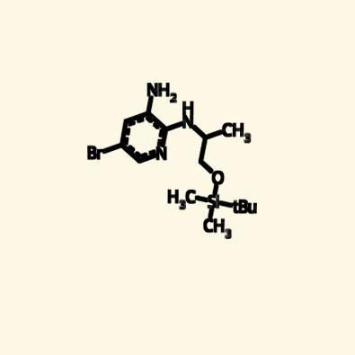 CC(CO[Si](C)(C)C(C)(C)C)Nc1ncc(Br)cc1N